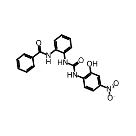 O=C(Nc1ccc([N+](=O)[O-])cc1O)Nc1ccccc1NC(=O)c1ccccc1